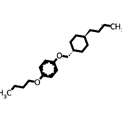 C[CH]CC[C@H]1CC[C@H](COc2ccc(OCCCC)cc2)CC1